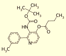 CCCC(=O)Oc1ccnc(-c2cccc(C)c2)c1NC(=O)OC(C)(C)C